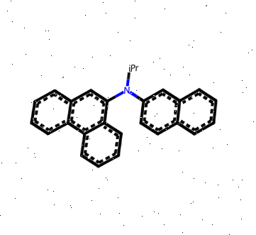 CC(C)N(c1ccc2ccccc2c1)c1cc2ccccc2c2ccccc12